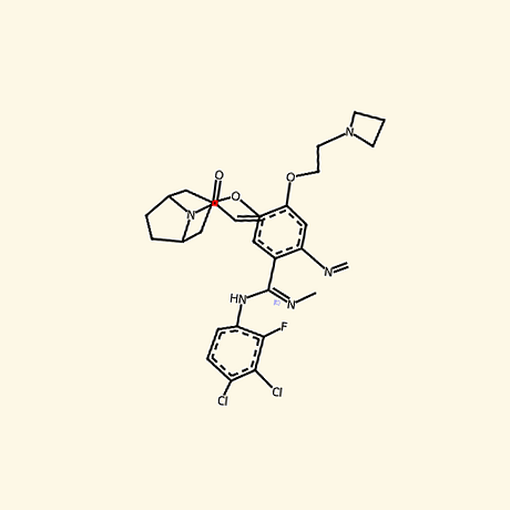 C=CC(=O)N1C2CCC1CC(Oc1cc(/C(=N\C)Nc3ccc(Cl)c(Cl)c3F)c(N=C)cc1OCCN1CCC1)C2